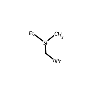 CCCC[Si](C)CC